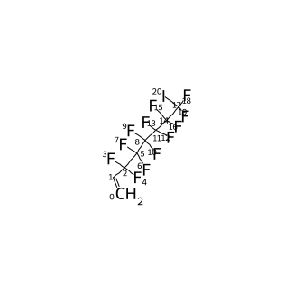 C=CC(F)(F)C(F)(F)C(F)(F)C(F)(F)C(F)(F)C(F)(F)I